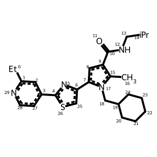 CCc1cc(-c2nc(-c3cc(C(=O)NCC(C)C)c(C)n3CC3CCCCC3)cs2)ccn1